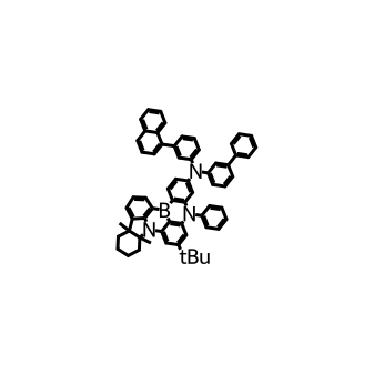 CC(C)(C)c1cc2c3c(c1)N1c4c(cccc4C4(C)CCCCC14C)B3c1ccc(N(c3cccc(-c4ccccc4)c3)c3cccc(-c4cccc5ccccc45)c3)cc1N2c1ccccc1